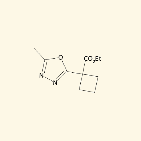 CCOC(=O)C1(c2nnc(C)o2)CCC1